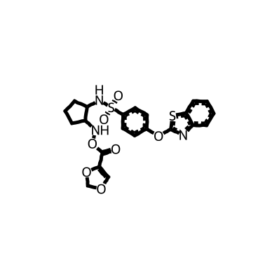 O=C(ONC1CCCC1NS(=O)(=O)c1ccc(Oc2nc3ccccc3s2)cc1)C1=COCO1